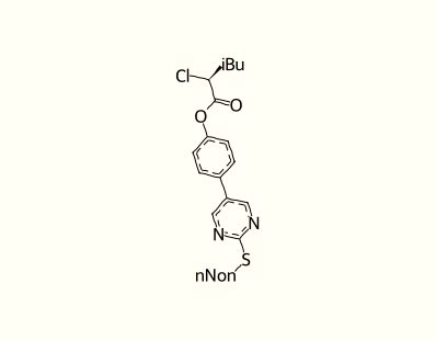 CCCCCCCCCSc1ncc(-c2ccc(OC(=O)[C@@H](Cl)C(C)CC)cc2)cn1